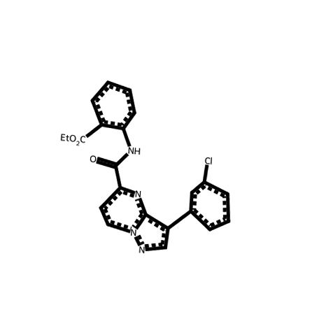 CCOC(=O)c1ccccc1NC(=O)c1ccn2ncc(-c3cccc(Cl)c3)c2n1